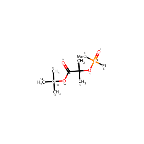 CCP(=O)(OC)OC(C)(C)C(=O)O[Si](C)(C)C